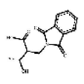 C[C@@H](O)[C@H](CN1C(=O)c2ccccc2C1=O)C(=O)O